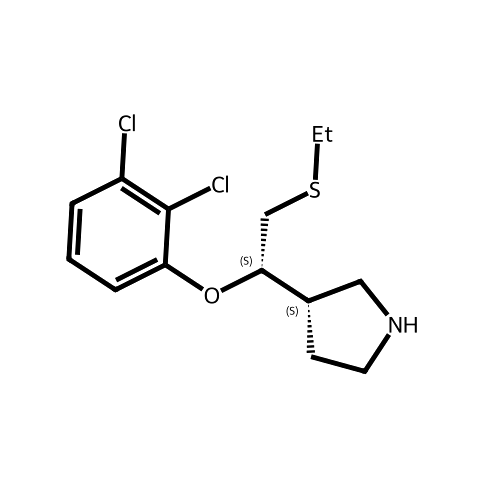 CCSC[C@@H](Oc1cccc(Cl)c1Cl)[C@H]1CCNC1